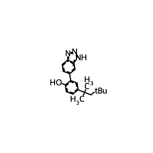 CC(C)(C)CC(C)(C)c1ccc(O)c(-c2ccc3nn[nH]c3c2)c1